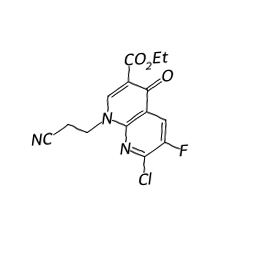 CCOC(=O)c1cn(CCC#N)c2nc(Cl)c(F)cc2c1=O